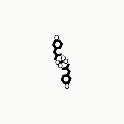 C1CC2OC2CC1CC1COC2(OC1)OCC(CC1CCC3OC3C1)CO2